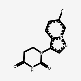 O=C1CCN(c2cnn3cc(Cl)ccc23)C(=O)N1